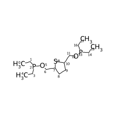 CCP(CC)OCC1CCC(COP(CC)CC)S1